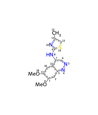 COc1cc2nncc(Nc3nc(C)cs3)c2cc1OC